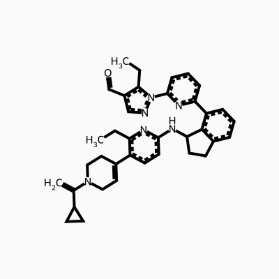 C=C(C1CC1)N1CC=C(c2ccc(NC3CCc4cccc(-c5cccc(-n6ncc(C=O)c6CC)n5)c43)nc2CC)CC1